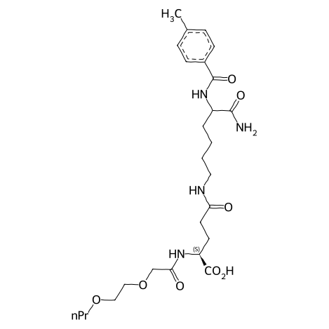 CCCOCCOCC(=O)N[C@@H](CCC(=O)NCCCCC(NC(=O)c1ccc(C)cc1)C(N)=O)C(=O)O